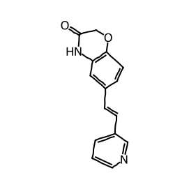 O=C1COc2ccc(/C=C/c3cccnc3)cc2N1